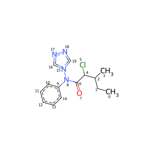 CCC(C)C(Cl)C(=O)N(c1ccccc1)n1cnnc1